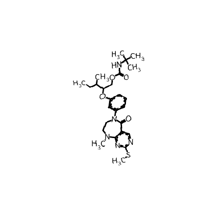 CCC(C)C(COC(=O)NC(C)(C)C)Oc1cccc(N2CCN(C)c3nc(SC)ncc3C2=O)c1